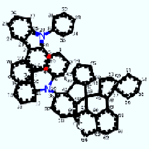 c1ccc(-c2ccccc2N(c2ccccc2-c2ccc3c(c2)c2ccccc2n3-c2ccccc2)c2cccc3c2-c2ccccc2C32c3ccc4ccccc4c3-c3cccc4cccc2c34)cc1